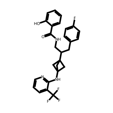 O=C(NCC(Cc1ccc(F)cc1)C12CC(Nc3ncccc3C(F)(F)F)(C1)C2)c1ccccc1O